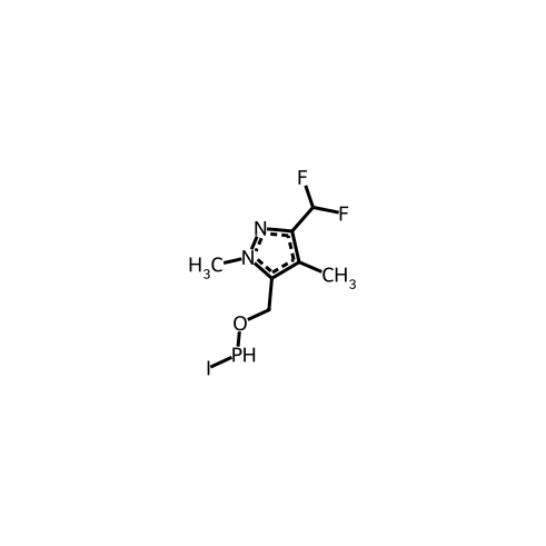 Cc1c(C(F)F)nn(C)c1COPI